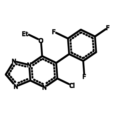 CCOc1c(-c2c(F)cc(F)cc2F)c(Cl)nc2ncnn12